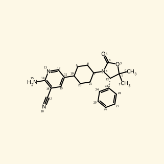 CC1(C)OC(=O)N(C2CCC(c3cnc(N)c(C#N)c3)CC2)[C@H]1c1ccccc1